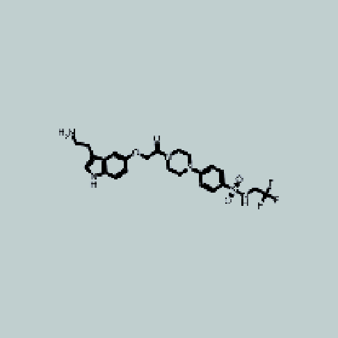 NCCc1c[nH]c2ccc(OCC(=O)N3CCN(c4ccc(S(=O)(=O)NCC(F)(F)F)cc4)CC3)cc12